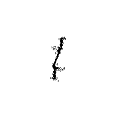 N=C(N)Nc1ccc(C(=O)Oc2ccc(COC(=O)N(Cc3cccc(C(=O)NCCOCCOCCOCCOCCNC(=O)c4cccc(CN(C(=O)OCc5ccc(OC(=O)c6ccc(NC(=N)N)cc6)cc5)[C@@H](CC(=O)O)C(=O)O)c4)c3)[C@@H](CC(=O)O)C(=O)O)cc2)cc1